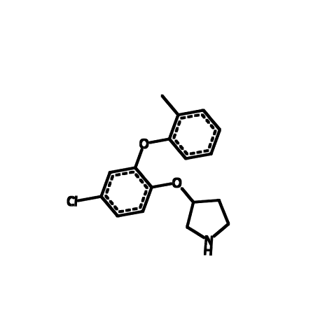 Cc1ccccc1Oc1cc(Cl)ccc1OC1CCNC1